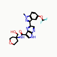 Cn1nc(-c2cnc3[nH]cc(C(=O)NC4(CO)CCOCC4)c3n2)c2cc(OC(F)F)ccc21